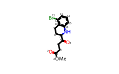 COC(=O)CCC(=O)C1CCc2c(Br)cccc2N1